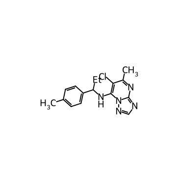 CCC(Nc1c(Cl)c(C)nc2ncnn12)c1ccc(C)cc1